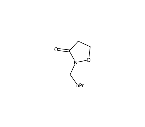 CCCCN1OC[CH]C1=O